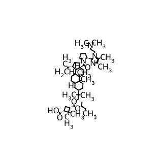 C=C(C)[C@@H]1CC[C@]2(C(=O)N3CCC[C@H]3c3nc(C)c(C)n3CCN(C)C)CC[C@]3(C)[C@H](CC[C@@H]4C[C@H](C(C)(C)[C@H](CCCC)OC(=O)[C@H]5C[C@@H](C(=O)O)C5(C)C)CC[C@]43C)[C@@H]12